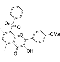 COc1ccc(-c2oc3c(S(=O)(=O)c4ccccc4)c(C)cc(C)c3c(=O)c2O)cc1